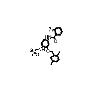 COc1ccccc1C(=O)Nc1ccc(NCS(C)(=O)=O)c(OCc2cc(C)ccc2C)c1